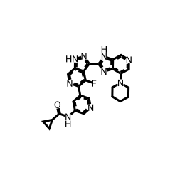 O=C(Nc1cncc(-c2ncc3[nH]nc(-c4nc5c(N6CCCCC6)cncc5[nH]4)c3c2F)c1)C1CC1